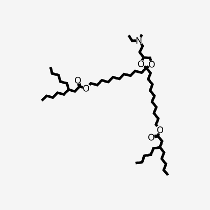 CCCCCC(CCCCC)CC(=O)OCCCCCCCCCCC1(CCCCCCCCCCOC(=O)CC(CCCCC)CCCCC)OCC(CCN(C)CC)O1